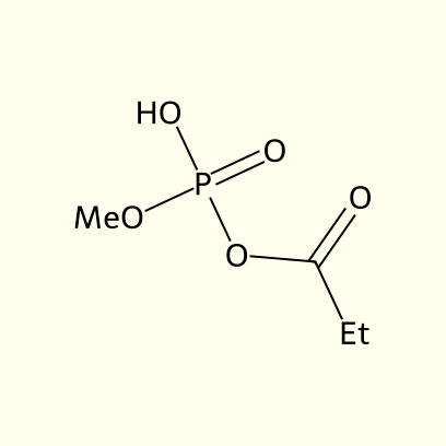 CCC(=O)OP(=O)(O)OC